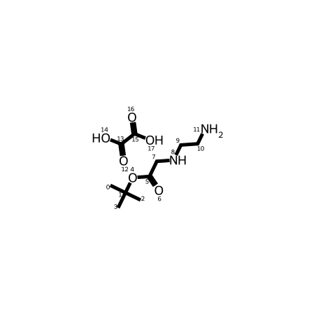 CC(C)(C)OC(=O)CNCCN.O=C(O)C(=O)O